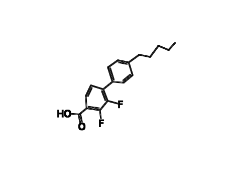 CCCCCc1ccc(-c2ccc(C(=O)O)c(F)c2F)cc1